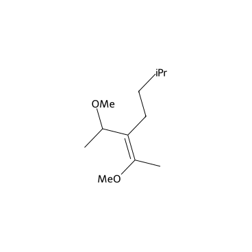 COC(C)=C(CCC(C)C)C(C)OC